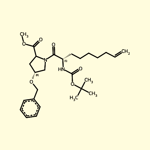 C=CCCCCC[C@H](NC(=O)OC(C)(C)C)C(=O)N1C[C@H](OCc2ccccc2)CC1C(=O)OC